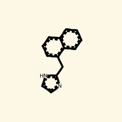 c1ccc2c(Cc3ncc[nH]3)cccc2c1